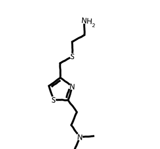 CN(C)CCc1nc(CSCCN)cs1